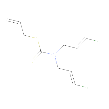 C=CCSC(=S)N(CC=CCl)CC=CCl